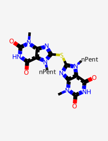 CCCCCn1c(Sc2nc3c(c(=O)[nH]c(=O)n3C)n2CCCCC)nc2c1c(=O)[nH]c(=O)n2C